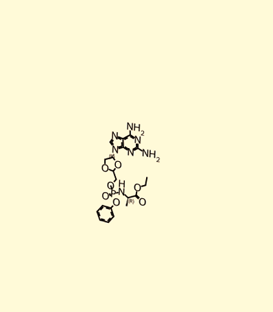 CCOC(=O)[C@@H](C)NP(=O)(OCC1OC[C@H](n2cnc3c(N)nc(N)nc32)O1)Oc1ccccc1